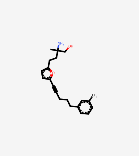 CC(N)(CO)CCc1ccc(C#CCCCc2cccc(C(F)(F)F)c2)o1